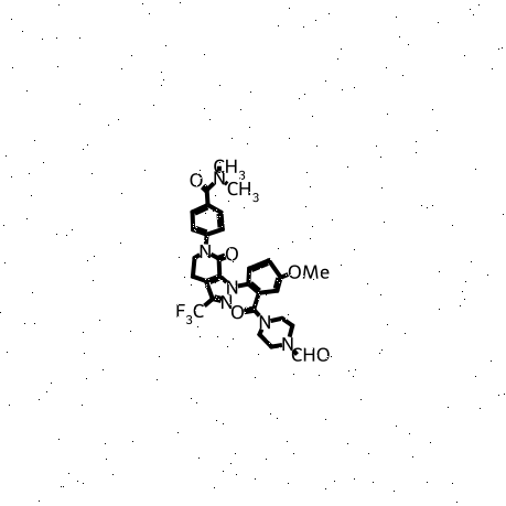 COc1ccc(-n2nc(C(F)(F)F)c3c2C(=O)N(c2ccc(C(=O)N(C)C)cc2)CC3)c(C(=O)N2CCN(C=O)CC2)c1